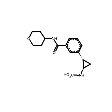 O=C(O)N[C@@H]1C[C@H]1c1cccc(C(=O)NC2CCOCC2)c1